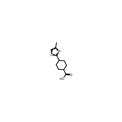 Cc1coc(C2CCC(C(=O)O)CC2)n1